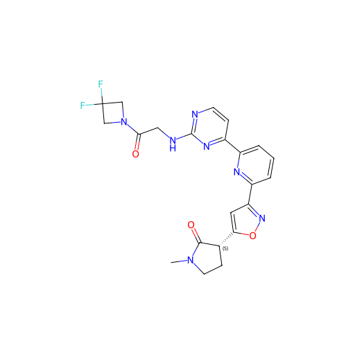 CN1CC[C@@H](c2cc(-c3cccc(-c4ccnc(NCC(=O)N5CC(F)(F)C5)n4)n3)no2)C1=O